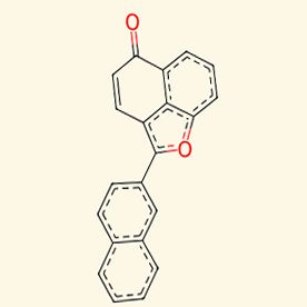 O=C1C=Cc2c(-c3ccc4ccccc4c3)oc3cccc1c23